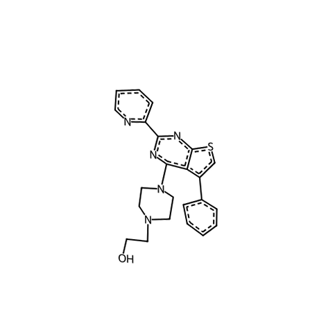 OCCN1CCN(c2nc(-c3ccccn3)nc3scc(-c4ccccc4)c23)CC1